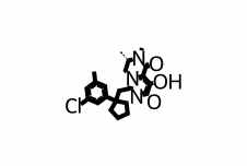 Cc1cc(Cl)cc(C2(Cc3nc(=O)c(O)c4n3C[C@H](C)N(C)C4=O)CCCC2)c1